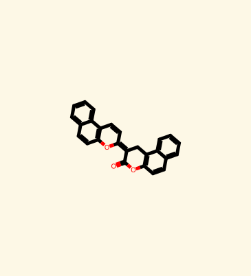 O=C1Oc2ccc3ccccc3c2CC1=C1C=Cc2c(ccc3ccccc23)O1